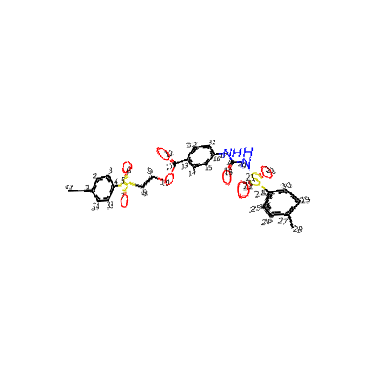 Cc1ccc(S(=O)(=O)CCOC(=O)c2ccc(NC(=O)NS(=O)(=O)c3ccc(C)cc3)cc2)cc1